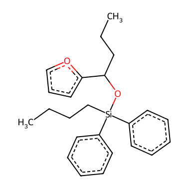 CCCC[Si](OC(CCC)c1ccco1)(c1ccccc1)c1ccccc1